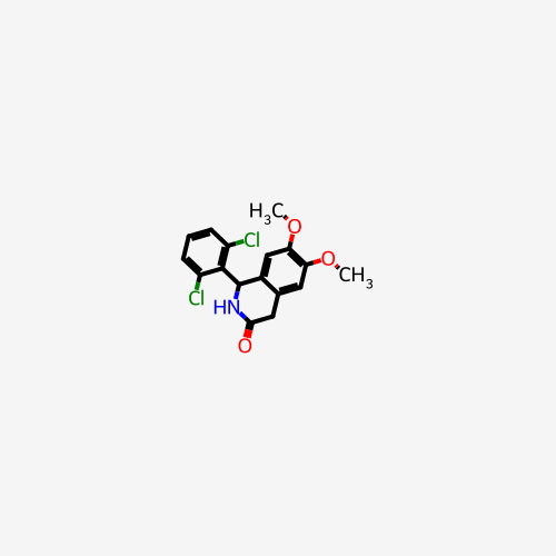 COc1cc2c(cc1OC)C(c1c(Cl)cccc1Cl)NC(=O)C2